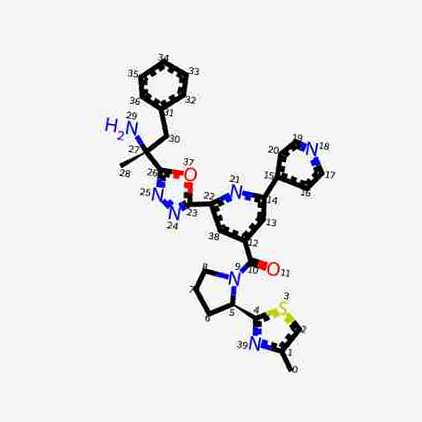 Cc1csc([C@H]2CCCN2C(=O)c2cc(-c3ccncc3)nc(-c3nnc([C@](C)(N)Cc4ccccc4)o3)c2)n1